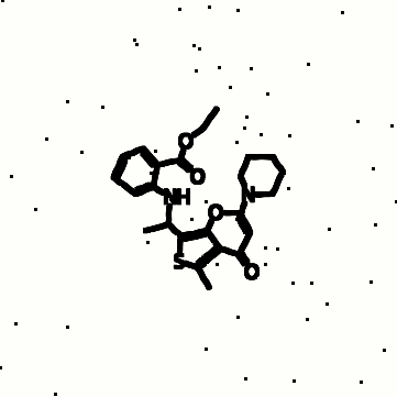 CCOC(=O)c1ccccc1NC(C)c1sc(C)c2c(=O)cc(N3CCCCC3)oc12